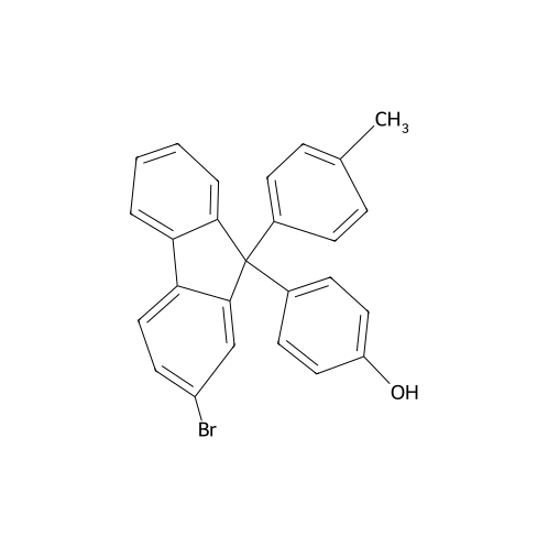 Cc1ccc(C2(c3ccc(O)cc3)c3ccccc3-c3ccc(Br)cc32)cc1